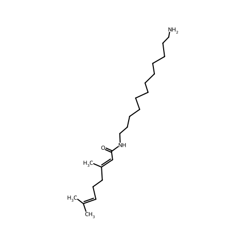 CC(C)=CCC/C(C)=C/C(=O)NCCCCCCCCCCCCN